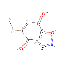 CSC1=CC(=O)c2oncc2C1=O